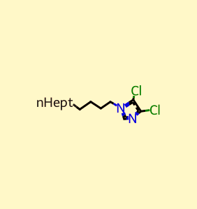 CCCCCCCCCCCn1cnc(Cl)c1Cl